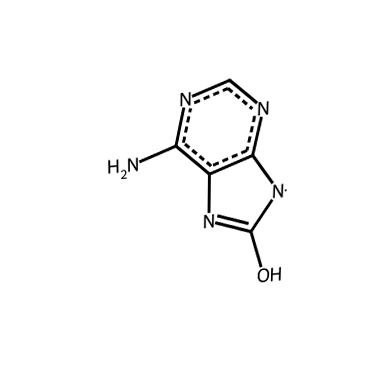 Nc1ncnc2c1N=C(O)[N]2